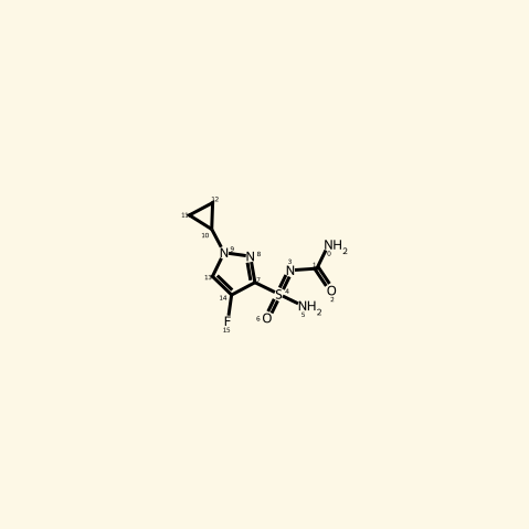 NC(=O)N=S(N)(=O)c1nn(C2CC2)cc1F